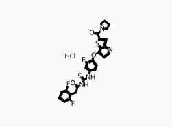 Cl.O=C(Cc1c(F)cccc1F)NC(=S)Nc1ccc(Oc2ccnc3cc(C(=O)N4CCCC4)sc23)c(F)c1